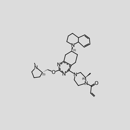 C=CC(=O)N1CCN(c2nc(OC[C@@H]3CCCN3C)nc3c2CC[C@H](N2CCCC4C=CC=CC42)C3)C[C@H]1C